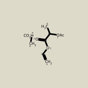 C=COC(=O)C(C)OC(C)=O.CC(=O)O